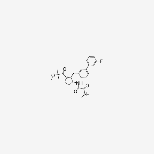 COC(C)(C)C(=O)N1CC[C@H](NC(=O)C(=O)N(C)C)[C@@H]1Cc1cccc(-c2cccc(F)c2)c1